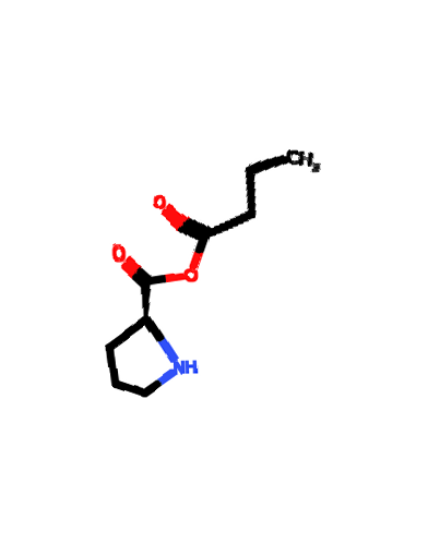 CCCC(=O)OC(=O)[C@@H]1CCCN1